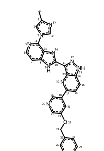 Cc1cn(-c2nccc3[nH]c(-c4n[nH]c5ccc(-c6cncc(OCc7ccccc7)c6)nc45)nc23)cn1